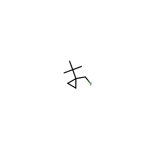 CC(C)(C)C1(CF)CC1